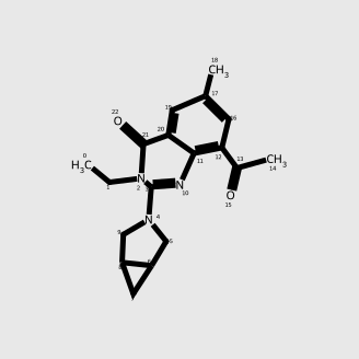 CCn1c(N2CC3CC3C2)nc2c(C(C)=O)cc(C)cc2c1=O